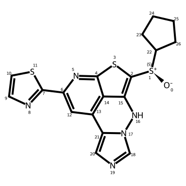 [O-][S@@+](c1sc2nc(-c3nccs3)cc3c2c1[nH]n1cncc31)C1CCCC1